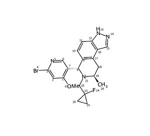 COc1cc(Br)ncc1[C@@H]1c2ccc3[nH]ncc3c2C[C@@H](C)N1CC1(F)CC1